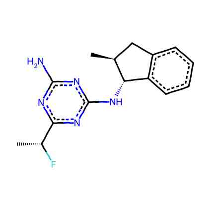 C[C@@H](F)c1nc(N)nc(N[C@H]2c3ccccc3C[C@@H]2C)n1